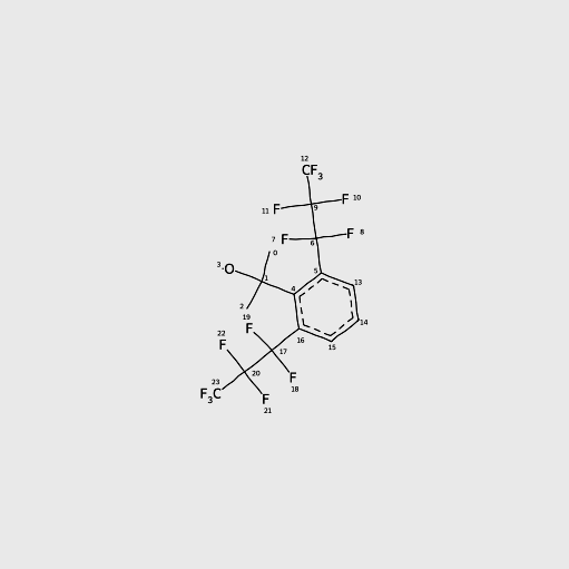 CC(C)([O])c1c(C(F)(F)C(F)(F)C(F)(F)F)cccc1C(F)(F)C(F)(F)C(F)(F)F